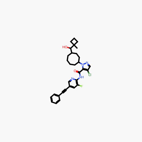 CC1(C(O)C2CCCCC(n3ncc(Cl)c3C(=O)Nc3ncc(C#Cc4ccccc4)cc3F)CC2)CCC1